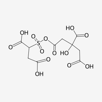 O=C(O)CC(C(=O)O)S(=O)(=O)OC(=O)CC(O)(CC(=O)O)C(=O)O